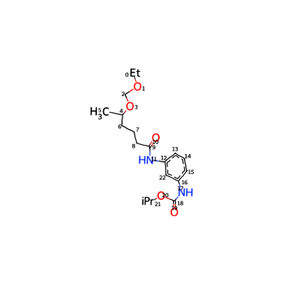 CCOCOC(C)CCCC(=O)Nc1cccc(NC(=O)OC(C)C)c1